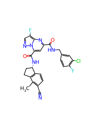 Cc1c(C#N)ccc2c1CC[C@@H]2NC(=O)c1cc(C(=O)NCc2ccc(F)c(Cl)c2)nc2c(F)cnn12